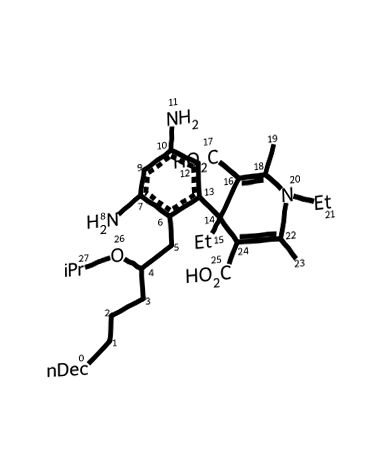 CCCCCCCCCCCCCC(Cc1c(N)cc(N)cc1C1(CC)C(C(=O)O)=C(C)N(CC)C(C)=C1C(=O)O)OC(C)C